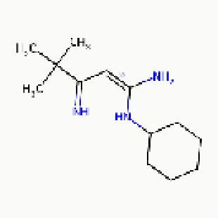 CC(C)(C)C(=N)/C=C(/N)NC1CCCCC1